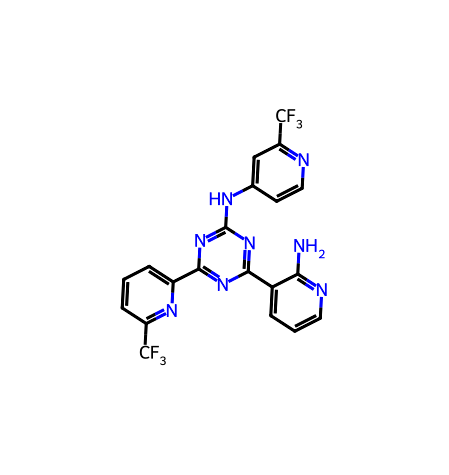 Nc1ncccc1-c1nc(Nc2ccnc(C(F)(F)F)c2)nc(-c2cccc(C(F)(F)F)n2)n1